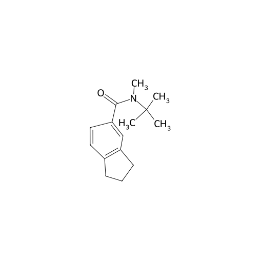 CN(C(=O)c1ccc2c(c1)CCC2)C(C)(C)C